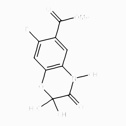 COC(=O)c1cc2c(cc1F)OC(C)(C)C(=O)N2C